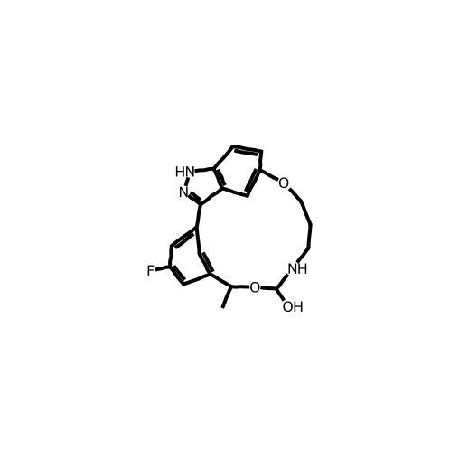 CC1OC(O)NCCCOc2ccc3[nH]nc(c3c2)-c2cc(F)cc1c2